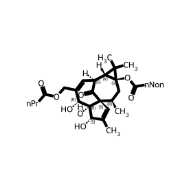 CCCCCCCCCC(=O)O[C@@]12C[C@@H](C)[C@]34C=C(C)[C@H](O)[C@@]3(O)[C@H](O)C(COC(=O)CCC)=C[C@H](C4=O)[C@@H]1C2(C)C